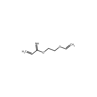 C=COCCOC(=N)C=C